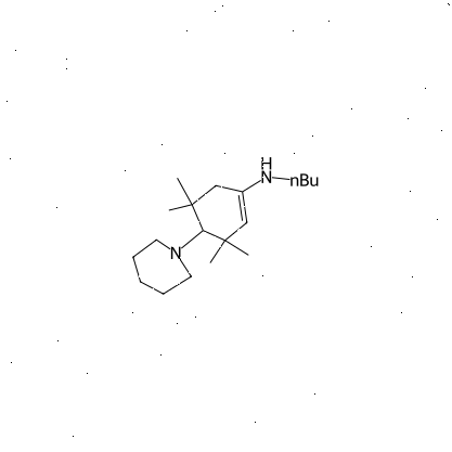 CCCCNC1=CC(C)(C)C(N2CCCCC2)C(C)(C)C1